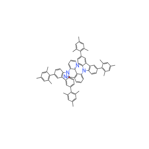 Cc1cc(C)c(-c2ccc3c(c2)c2cc(-c4c(C)cc(C)cc4C)ccc2n3-c2cccnc2-c2c(C#N)cccc2-n2c3ccc(-c4c(C)cc(C)cc4C)cc3c3cc(-c4c(C)cc(C)cc4C)ccc32)c(C)c1